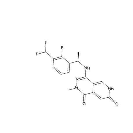 C[C@@H](Nc1nn(C)c(=O)c2cc(=O)[nH]cc12)c1cccc(C(F)F)c1F